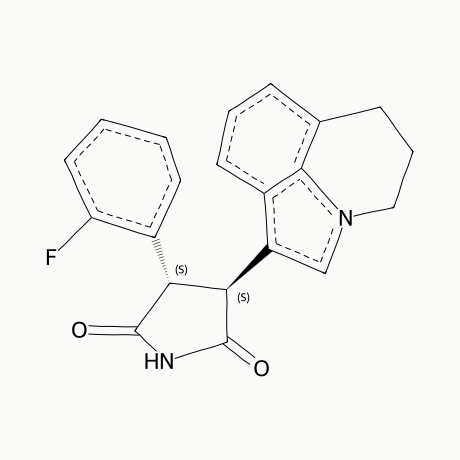 O=C1NC(=O)[C@H](c2cn3c4c(cccc24)CCC3)[C@H]1c1ccccc1F